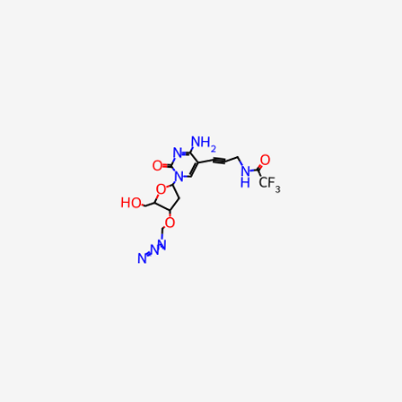 [N-]=[N+]=NCOC1CC(n2cc(C#CCNC(=O)C(F)(F)F)c(N)nc2=O)OC1CO